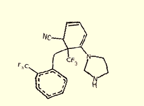 N#CC1C=CC=C(N2CCNC2)C1(Cc1ccccc1C(F)(F)F)C(F)(F)F